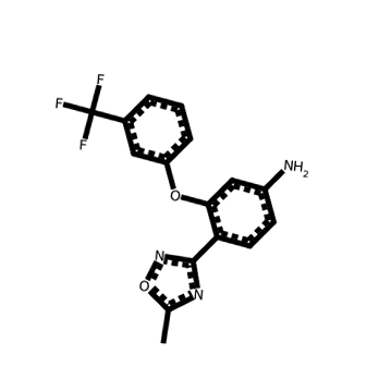 Cc1nc(-c2ccc(N)cc2Oc2cccc(C(F)(F)F)c2)no1